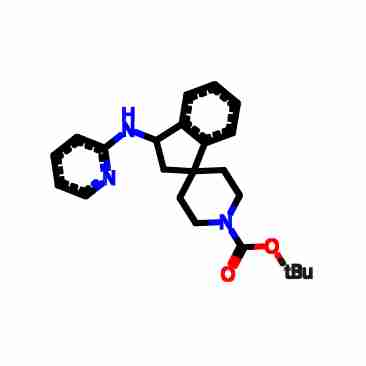 CC(C)(C)OC(=O)N1CCC2(CC1)CC(Nc1ccccn1)c1ccccc12